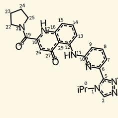 CC(C)n1cnnc1-c1cccc(Nc2cccc3[nH]c(C(=O)N4CCCC4)cc(=O)c23)n1